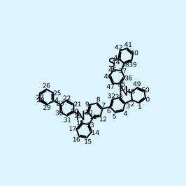 C1=CC2c3ccc(-c4ccc5c(c4)c4ccccc4n5-c4ccc(-c5ccccc5)cc4)cc3N(C3=CC4c5ccccc5SC4C=C3)C2C=C1